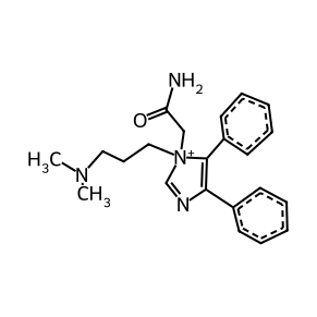 CN(C)CCC[N+]1(CC(N)=O)C=NC(c2ccccc2)=C1c1ccccc1